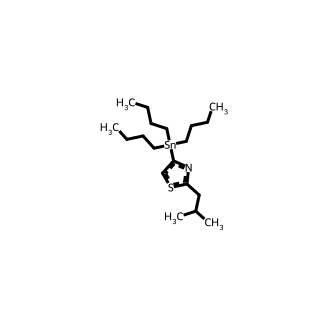 CCC[CH2][Sn]([CH2]CCC)([CH2]CCC)[c]1csc(CC(C)C)n1